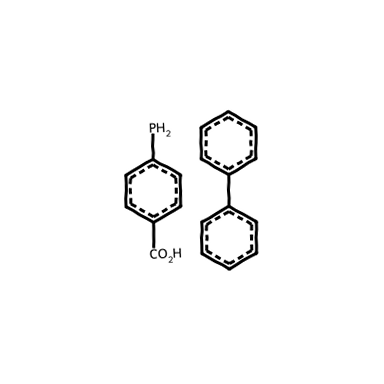 O=C(O)c1ccc(P)cc1.c1ccc(-c2ccccc2)cc1